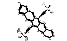 CC[Si](C)(C#Cc1c2cc3ccccc3cc2c(C#C[Si](C)(CC)CC)c2cc3ccccc3cc12)CC